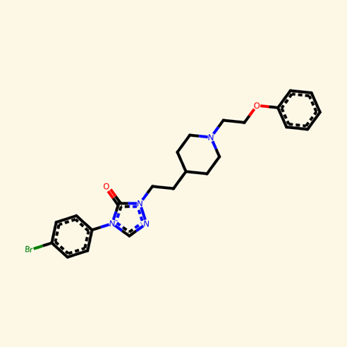 O=c1n(-c2ccc(Br)cc2)cnn1CCC1CCN(CCOc2ccccc2)CC1